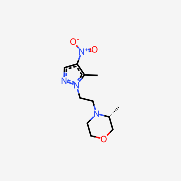 Cc1c([N+](=O)[O-])cnn1CCN1CCOC[C@H]1C